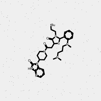 CN(C)CCCN(C)c1ccccc1C1SC(CC(=O)N2CCC(n3c(=O)[nH]c4ncccc43)CC2)C(=O)N1CCC(C)(C)C